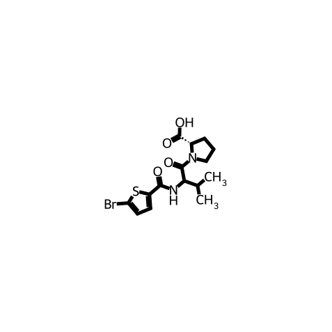 CC(C)C(NC(=O)c1ccc(Br)s1)C(=O)N1CCC[C@H]1C(=O)O